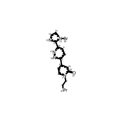 CC(C)CCn1ccc(-c2ccc(-c3nccn3Br)nn2)cc1=O